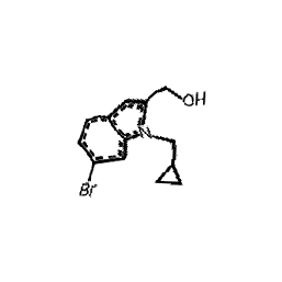 OCc1cc2ccc(Br)cc2n1CC1CC1